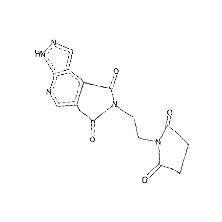 O=C1CCC(=O)N1CCN1C(=O)c2cnc3[nH]ncc3c2C1=O